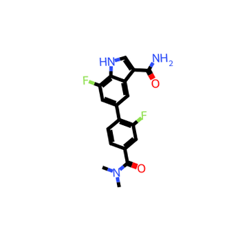 CN(C)C(=O)c1ccc(-c2cc(F)c3[nH]cc(C(N)=O)c3c2)c(F)c1